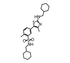 Cc1ccc(-c2sc(NCC3CCCCC3)nc2C)cc1S(=O)(=O)NCC1CCCCC1